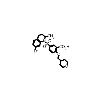 CCc1ccc2c(c1)N(S(=O)(=O)c1ccc(OCC3CCOCC3)c(C(=O)O)c1)C(C)CC2